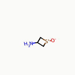 NC1C[S+]([O-])C1